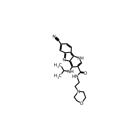 CC(C)Nc1c(C(=O)NCCN2CCOCC2)c[nH]c2c3ccc(C#N)cc3nc1-2